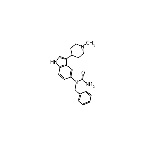 CN1CCC(c2c[nH]c3ccc(N(Cc4ccccc4)C(N)=O)cc23)CC1